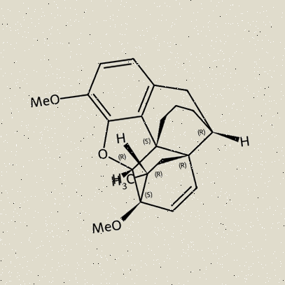 COc1ccc2c3c1O[C@H]1[C@@]4(OC)C=C[C@@]5(C[C@H]4C)[C@H](CCC[C@]315)C2